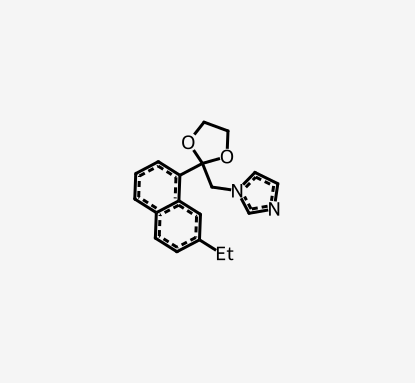 CCc1ccc2cccc(C3(Cn4ccnc4)OCCO3)c2c1